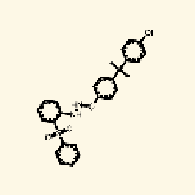 CC(C)(c1ccc(O)cc1)c1ccc(ONNc2ccccc2S(=O)(=O)c2ccccc2)cc1